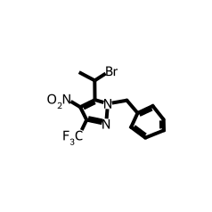 CC(Br)c1c([N+](=O)[O-])c(C(F)(F)F)nn1Cc1ccccc1